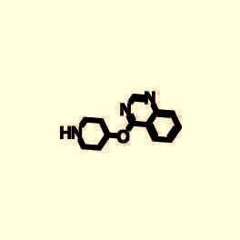 c1ccc2c(OC3CCNCC3)ncnc2c1